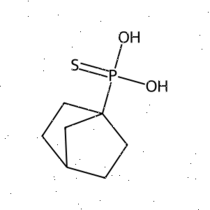 OP(O)(=S)C12CCC(CC1)C2